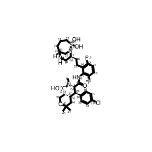 CN(C(=O)O)[C@H](C(=O)Nc1c(F)ccc(F)c1CC[C@H]1CN[C@@H]2CCCS(O)(O)N1C2)[C@@H](c1ccc(Cl)cc1)[C@H]1CCOC(C)(C)C1